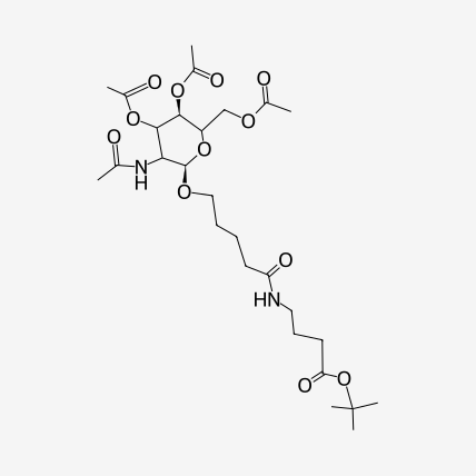 CC(=O)NC1C(OC(C)=O)[C@@H](OC(C)=O)C(COC(C)=O)O[C@H]1OCCCCC(=O)NCCCC(=O)OC(C)(C)C